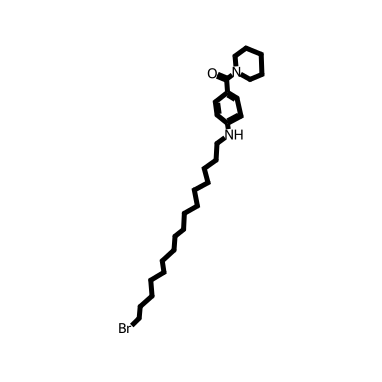 O=C(c1ccc(NCCCCCCCCCCCCCCCCBr)cc1)N1CCCCC1